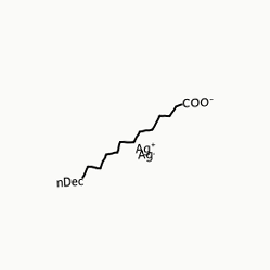 CCCCCCCCCCCCCCCCCCCCCC(=O)[O-].[Ag+].[Ag]